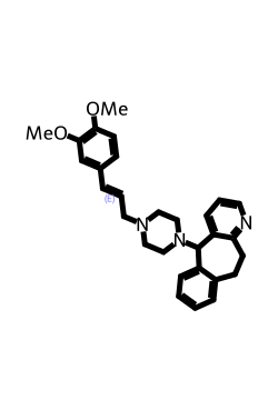 COc1ccc(/C=C/CN2CCN(C3c4ccccc4CCc4ncccc43)CC2)cc1OC